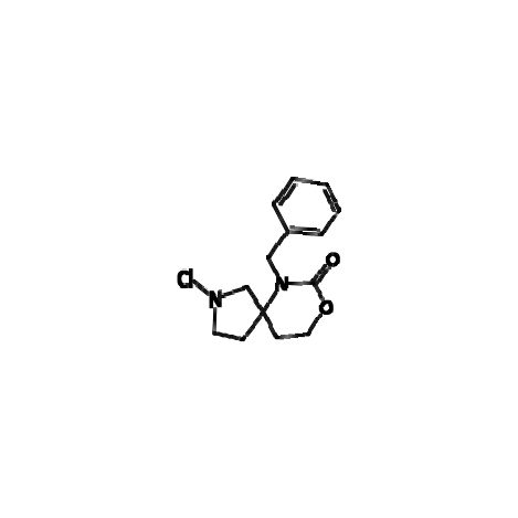 O=C1OCCC2(CCN(Cl)C2)N1Cc1ccccc1